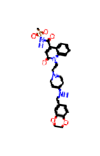 CS(=O)(=O)NC(=O)c1cc(=O)n(CCN2CCC(NCc3ccc4c(c3)OCCO4)CC2)c2ccccc12